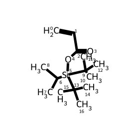 C=CC(=O)O[Si](C(C)C)(C(C)(C)C)C(C)(C)C